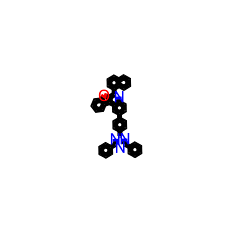 c1ccc(-c2nc(-c3ccccc3)nc(-c3ccc(-c4ccc5nc(-c6cccc7ccccc67)c6oc7ccccc7c6c5c4)cc3)n2)cc1